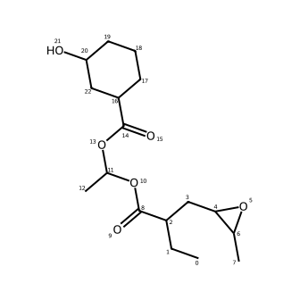 CCC(CC1OC1C)C(=O)OC(C)OC(=O)C1CCCC(O)C1